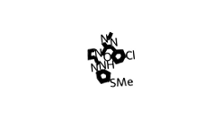 CSc1ccc2nc(C3CCCN3C(=O)c3cnc(C)nc3-c3cccc(Cl)c3)[nH]c2c1